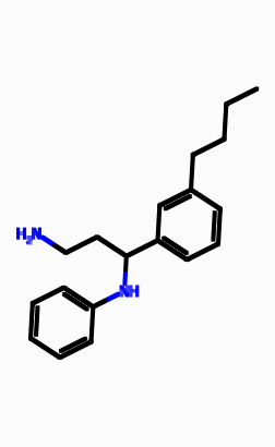 CCCCc1cccc(C(CCN)Nc2ccccc2)c1